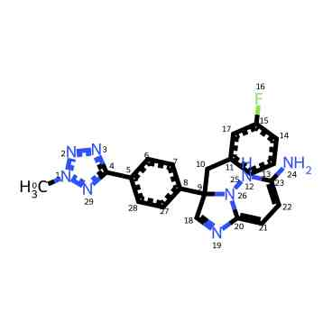 Cn1nnc(-c2ccc(C3(Cc4cccc(F)c4)C=NC4=CC=C(N)NN43)cc2)n1